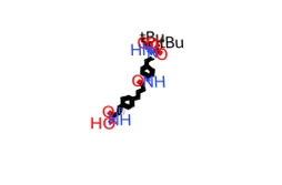 CC(C)(C)OC(=O)NN(CCc1ccc(NC(=O)CCCc2ccc(/C=C/C(=O)NO)cc2)cc1)C(=O)OC(C)(C)C